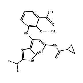 COc1c(Nc2cc(NC(=O)C3CC3)nc3[nH]c(C(F)F)nc23)cccc1C(=O)O